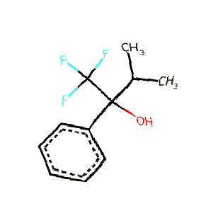 CC(C)C(O)(c1ccccc1)C(F)(F)F